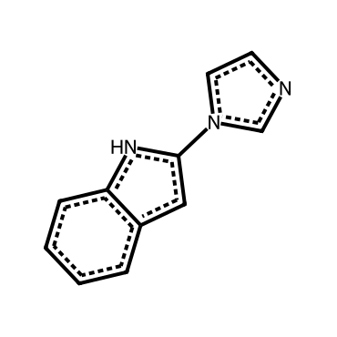 c1ccc2[nH]c(-n3ccnc3)cc2c1